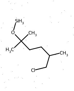 CC(CCl)CCC(C)(C)O[SiH3]